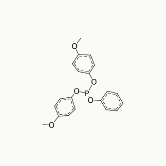 COc1ccc(OP(Oc2ccccc2)Oc2ccc(OC)cc2)cc1